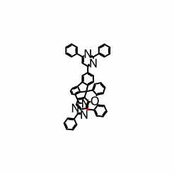 c1ccc(-c2cc(-c3ccc4c(c3)-c3cccc(-c5nc(-c6ccccc6)nc(-c6ccccc6)n5)c3C43c4ccccc4Oc4ccccc43)nc(-c3ccccc3)n2)cc1